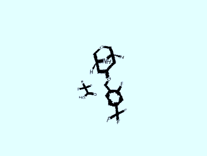 Fc1cc(C(F)(F)F)ccc1COC1C[C@H]2COC[C@@H](C1)N2.O=C(O)C(F)(F)F